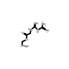 CCCCCCCCOC(=O)CNC(=N)NC(=N)N